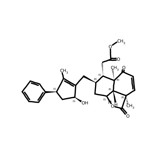 COC(=O)C[C@H]1[C@H](CC2=C(C)[C@H](c3ccccc3)C[C@@H]2O)C[C@@H]2OC(=O)[C@]3(C)C=CC(=O)[C@@]1(C)[C@@H]23